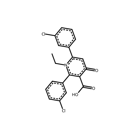 CCn1c(-c2cccc(Cl)c2)cc(=O)c(C(=O)O)c1-c1cccc(Cl)c1